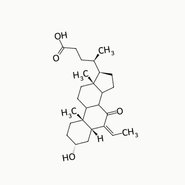 C/C=C1\C(=O)C2C3CC[C@H]([C@H](C)CCC(=O)O)[C@@]3(C)CCC2[C@@]2(C)CC[C@@H](O)C[C@@H]12